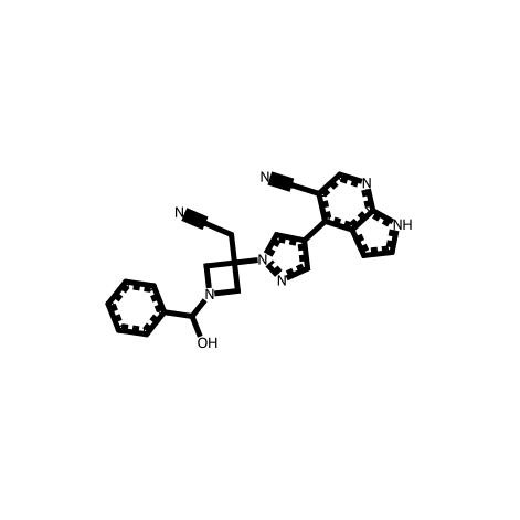 N#CCC1(n2cc(-c3c(C#N)cnc4[nH]ccc34)cn2)CN(C(O)c2ccccc2)C1